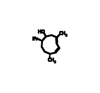 C/C1=C\C=C/[C@H](C)CC[C@@H](C(C)C)C(O)C1